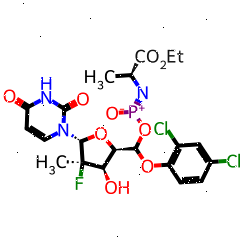 CCOC(=O)[C@H](C)/N=[P+](\[O-])OC(Oc1ccc(Cl)cc1Cl)[C@@H]1O[C@@H](n2ccc(=O)[nH]c2=O)[C@](C)(F)[C@@H]1O